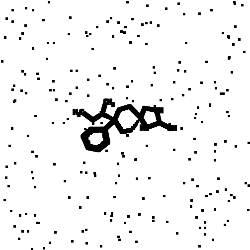 CCN(C)[C@]1(c2ccccc2)CC[C@]2(CC1)CNC(O)N2